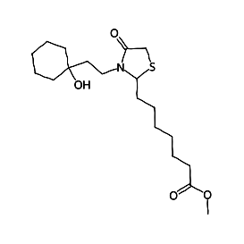 COC(=O)CCCCCCC1SCC(=O)N1CCC1(O)CCCCC1